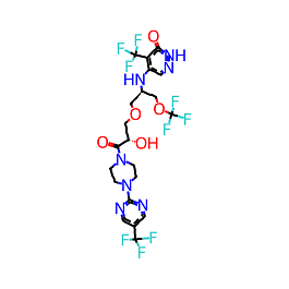 O=C([C@@H](O)COC[C@H](COC(F)(F)F)Nc1cn[nH]c(=O)c1C(F)(F)F)N1CCN(c2ncc(C(F)(F)F)cn2)CC1